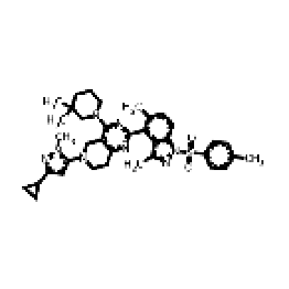 Cc1ccc(S(=O)(=O)n2nc(C)c3c(-c4nc5c(c(N6CCCC(C)(C)C6)n4)CN(c4cc(C6CC6)nn4C)CC5)c(C)ccc32)cc1